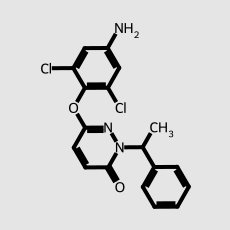 CC(c1ccccc1)n1nc(Oc2c(Cl)cc(N)cc2Cl)ccc1=O